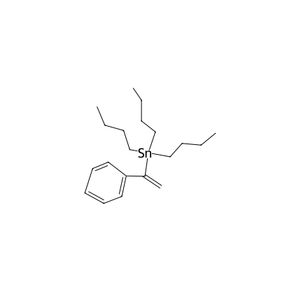 C=[C](c1ccccc1)[Sn]([CH2]CCC)([CH2]CCC)[CH2]CCC